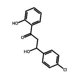 O=C(CC(O)c1ccc(Cl)cc1)c1ccccc1O